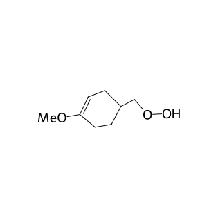 COC1=CCC(COO)CC1